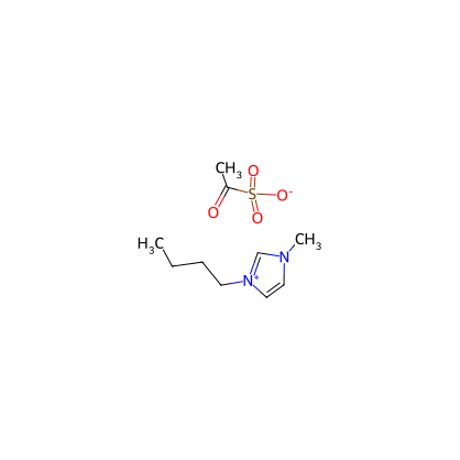 CC(=O)S(=O)(=O)[O-].CCCC[n+]1ccn(C)c1